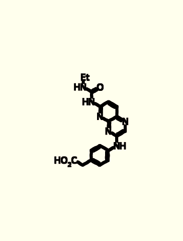 CCNC(=O)Nc1ccc2ncc(Nc3ccc(CC(=O)O)cc3)nc2n1